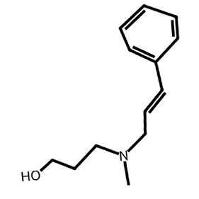 CN(C/C=C/c1ccccc1)CCCO